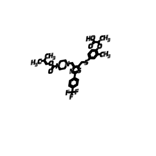 Cc1cc(SCc2sc(-c3ccc(C(F)(F)F)cc3)nc2CN2CCN(C(=O)OCC(C)C)CC2)ccc1OC(C)C(=O)O